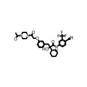 CC(=O)N1CCN(C(=O)COc2cccc(CC(O)(C(=O)Nc3ccc(C#N)c(C(F)(F)F)c3)C3CCCCC3)c2)CC1